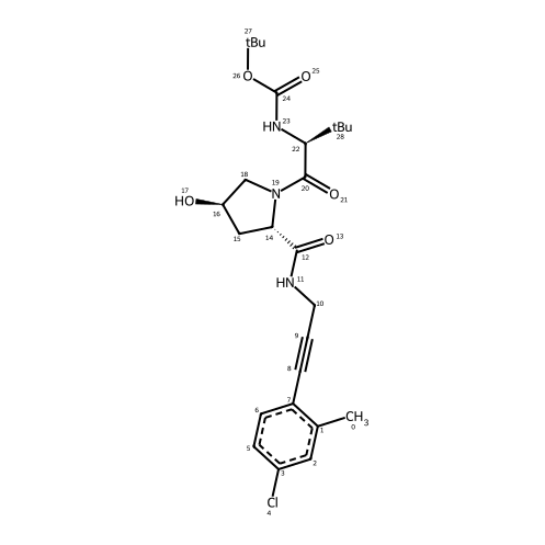 Cc1cc(Cl)ccc1C#CCNC(=O)[C@@H]1C[C@@H](O)CN1C(=O)[C@@H](NC(=O)OC(C)(C)C)C(C)(C)C